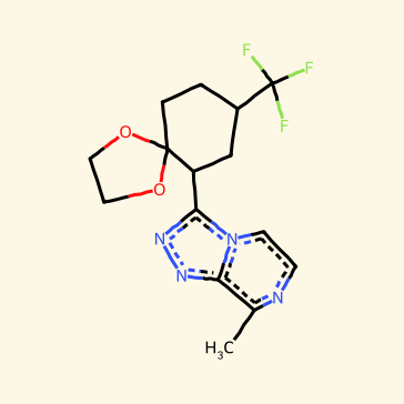 Cc1nccn2c(C3CC(C(F)(F)F)CCC34OCCO4)nnc12